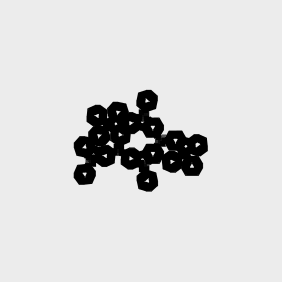 C1=CC2=C(CC1)c1ccc(N(c3ccc4c(c3)c3ccccc3n4-c3ccccc3)c3ccc4c(c3)c3cc(N(c5ccc6c(c5)C(c5ccccc5)(c5ccccc5)c5ccccc5-6)c5ccc6c(c5)c5ccccc5n6-c5ccccc5)ccc3n4-c3ccccc3)cc1C2(c1ccccc1)c1ccccc1